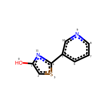 Oc1csc(-c2cccnc2)n1